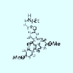 CCC1NCCCC1Oc1ccc(C(=O)c2c(-c3ccc(OC)cc3)sc3cc(OC)ccc23)cc1